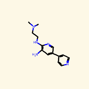 CN(C)CCNc1ncc(-c2ccncc2)cc1N